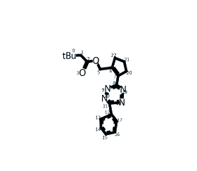 CC(C)(C)CC(=O)OCC1=C(c2nnc(-c3ccccc3)nn2)CCC1